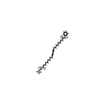 C[N+](C)(C)CCNC(=O)CCCCCCCCC#CC#CCCCCCCCCC(=O)Nc1ccccc1